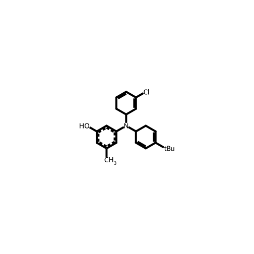 Cc1cc(O)cc(N(C2C=CC(C(C)(C)C)=CC2)C2C=C(Cl)C=CC2)c1